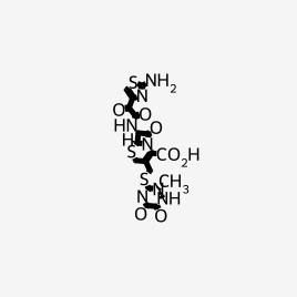 Cn1[nH]c(=O)c(=O)nc1SCC1=C(C(=O)O)N2C(=O)[C@@H](NC(=O)C(=O)c3csc(N)n3)[C@@H]2SC1